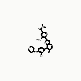 COc1cc(C(=O)N(C)C)cnc1-c1cc2ncc(C)c(-c3ccc(OC4CCOCC4)c(C#N)n3)c2o1